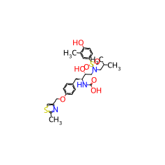 Cc1nc(COc2ccc(C[C@H](NC(=O)O)[C@H](O)CN(CC(C)C)S(=O)(=O)c3ccc(O)c(C)c3)cc2)cs1